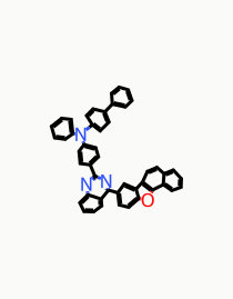 c1ccc(-c2ccc(N(c3ccccc3)c3ccc(-c4nc(-c5ccc6oc7c8ccccc8ccc7c6c5)c5ccccc5n4)cc3)cc2)cc1